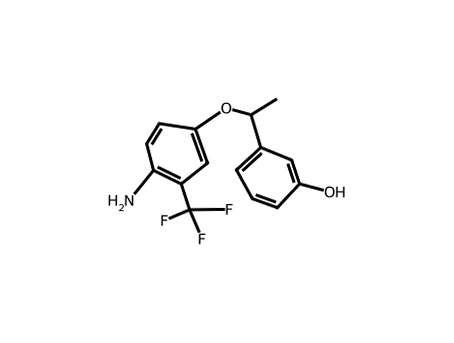 CC(Oc1ccc(N)c(C(F)(F)F)c1)c1cccc(O)c1